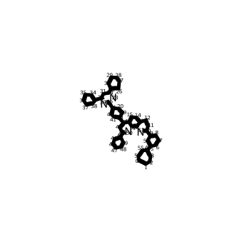 C1=CCC=C(c2cccc(-c3ccc4ccc5c(-c6ccc(C7=NC(c8ccccc8)CC(c8ccccc8)=N7)cc6)cc(-c6ccccc6)nc5c4n3)c2)C=C1